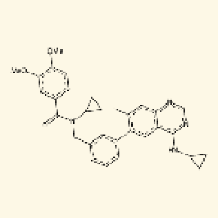 COc1ccc(C(=O)N(Cc2cccc(-c3cc4c(NC5CC5)ncnc4cc3C)c2)C2CC2)cc1OC